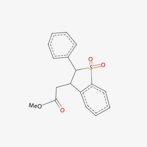 COC(=O)CC1c2ccccc2S(=O)(=O)C1c1ccccc1